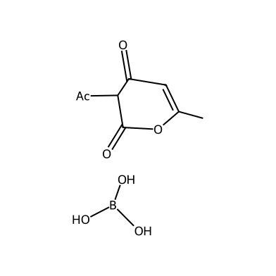 CC(=O)C1C(=O)C=C(C)OC1=O.OB(O)O